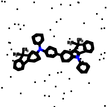 CC1(C)c2ccccc2-c2ccc(N(c3ccccc3)c3ccc(-c4ccc5c(c4)c4c(n5-c5ccccc5)-c5ccccc5C4(C)C)cc3)cc21